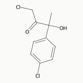 CC(O)(C(=O)CCl)c1ccc(Cl)cc1